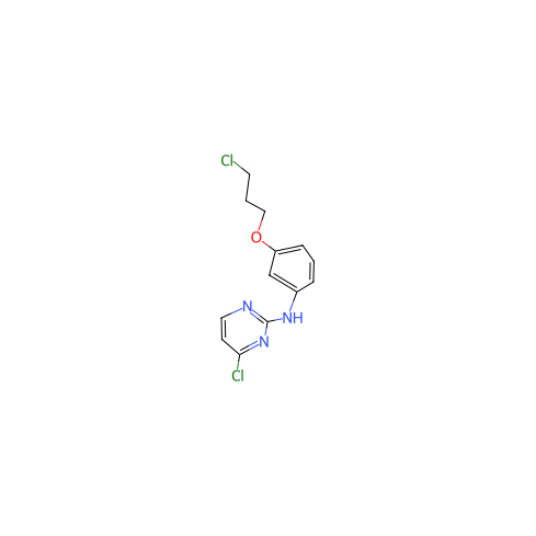 ClCCCOc1cccc(Nc2nccc(Cl)n2)c1